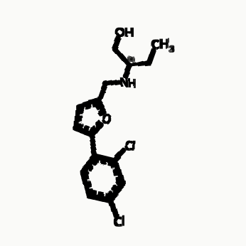 CC[C@H](CO)NCc1ccc(-c2ccc(Cl)cc2Cl)o1